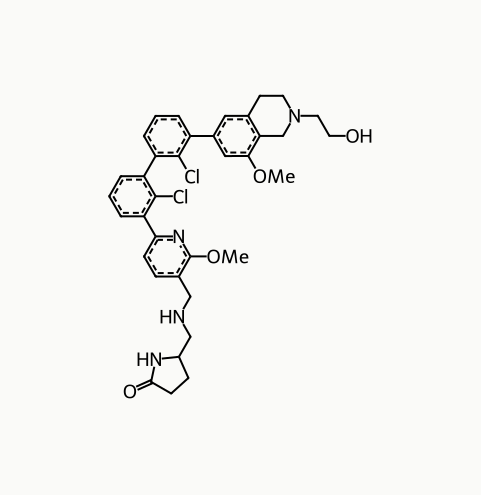 COc1cc(-c2cccc(-c3cccc(-c4ccc(CNCC5CCC(=O)N5)c(OC)n4)c3Cl)c2Cl)cc2c1CN(CCO)CC2